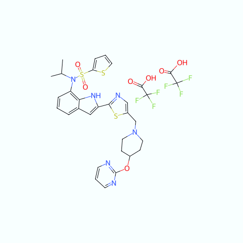 CC(C)N(c1cccc2cc(-c3ncc(CN4CCC(Oc5ncccn5)CC4)s3)[nH]c12)S(=O)(=O)c1cccs1.O=C(O)C(F)(F)F.O=C(O)C(F)(F)F